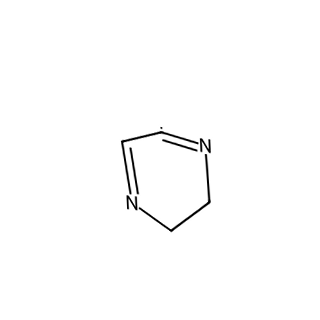 [C]1=NCCN=C1